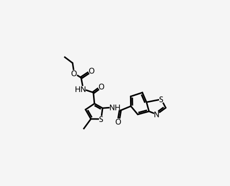 CCOC(=O)NC(=O)c1cc(C)sc1NC(=O)c1ccc2scnc2c1